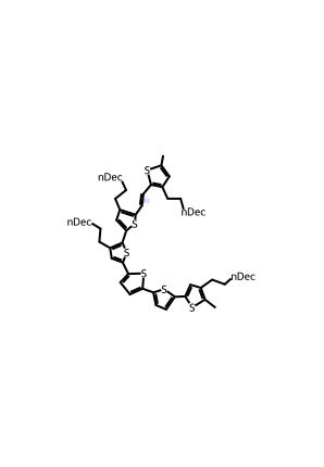 CCCCCCCCCCCCc1cc(-c2ccc(-c3ccc(-c4cc(CCCCCCCCCCCC)c(-c5cc(CCCCCCCCCCCC)c(/C=C/c6sc(C)cc6CCCCCCCCCCCC)s5)s4)s3)s2)sc1C